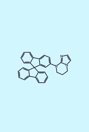 c1ccc2c(c1)-c1ccccc1C21c2ccccc2-c2ccc(N3CCCn4ccnc43)cc21